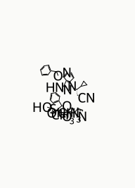 CC1(C)C(OC(=O)n2ccnc2)c2cc(Nc3nn([C@@H](CC#N)C4CC4)c4ccnc(OCc5ccccc5)c34)ccc2S1(O)O